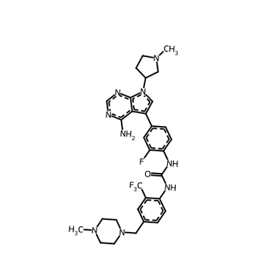 CN1CCN(Cc2ccc(NC(=O)Nc3ccc(-c4cn(C5CCN(C)C5)c5ncnc(N)c45)cc3F)c(C(F)(F)F)c2)CC1